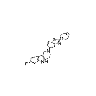 Fc1ccc2c3c([nH]c2c1)CCN(c1ccc2sc(N4CCOCC4)nc2c1)C3